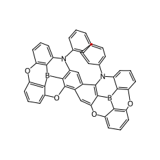 c1ccc(N2c3cccc4c3B3c5c(cccc5Oc5c3c2cc2c3c6c(cc52)Oc2cccc5c2B6c2c(cccc2N3c2ccccc2)O5)O4)cc1